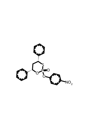 O=[N+]([O-])c1ccc(OP2(=O)O[C@H](c3ccccc3)C[C@H](c3ccccc3)S2)cc1